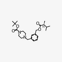 CC(C)[C@H](C)C(=O)OCc1cccc(CN2CCN(C(=O)OC(C)(C)C)CC2)c1